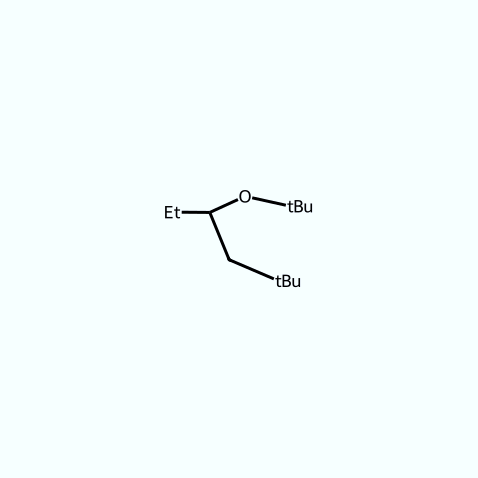 CCC(CC(C)(C)C)OC(C)(C)C